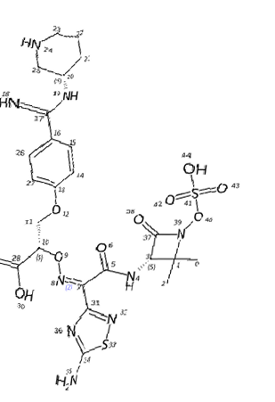 CC1(C)[C@H](NC(=O)/C(=N\O[C@@H](COc2ccc(C(=N)N[C@H]3CCCNC3)cc2)C(=O)O)c2nsc(N)n2)C(=O)N1OS(=O)(=O)O